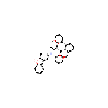 CC1C=C(c2cccc3cccc(-c4ccccc4)c23)C(N(c2ccccc2)c2ccc3oc4ccccc4c3c2)=CC1